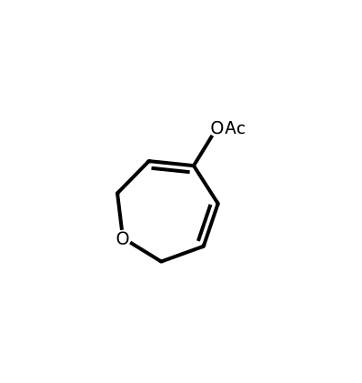 CC(=O)OC1=CCOCC=C1